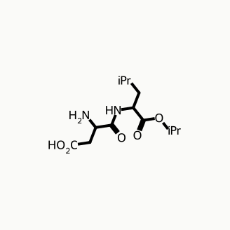 CC(C)CC(NC(=O)C(N)CC(=O)O)C(=O)OC(C)C